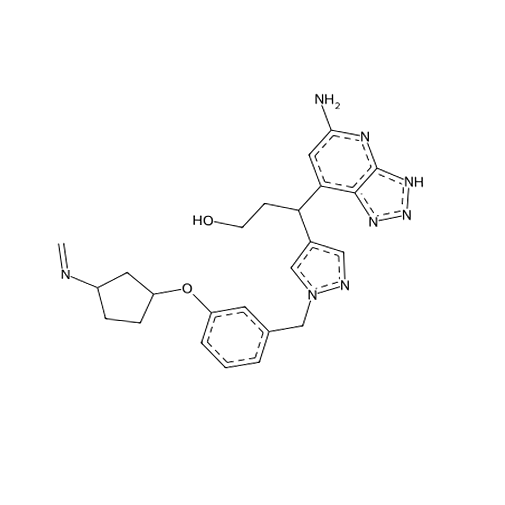 C=NC1CCC(Oc2cccc(Cn3cc(C(CCO)c4cc(N)nc5[nH]nnc45)cn3)c2)C1